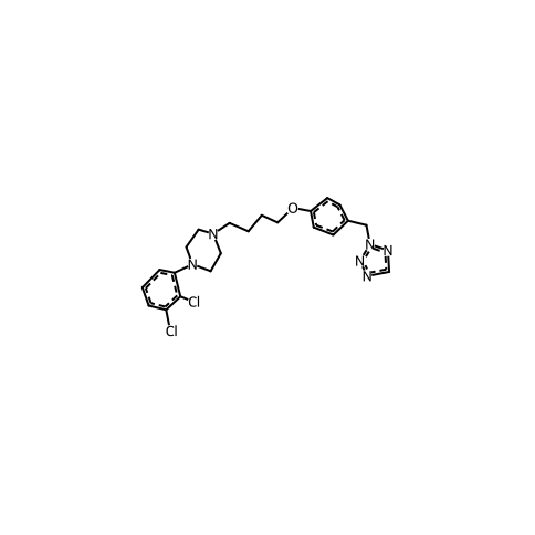 Clc1cccc(N2CCN(CCCCOc3ccc(Cn4ncnn4)cc3)CC2)c1Cl